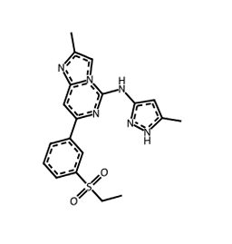 CCS(=O)(=O)c1cccc(-c2cc3nc(C)cn3c(Nc3cc(C)[nH]n3)n2)c1